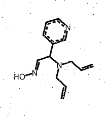 C=CCN(CC=C)C(C=NO)c1cccnc1